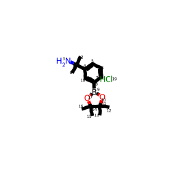 CC(C)(N)c1cccc(B2OC(C)(C)C(C)(C)O2)c1.Cl